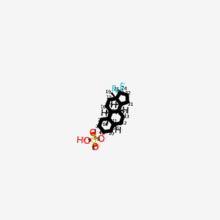 C[C@]12CC[C@@H](OS(=O)(=O)O)C[C@H]1CC[C@@H]1[C@@H]2CC[C@@]2(C)[C@H]1CCC2(F)F